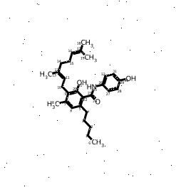 CCCCCc1cc(C)c(C/C=C(\C)CCC=C(C)C)c(O)c1C(=O)Nc1ccc(O)cc1